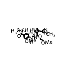 COCCOc1nc(Nc2ccc(C(=O)N(C)C)cc2OC)nc2[nH]cc(-c3cnn(C)c3)c12